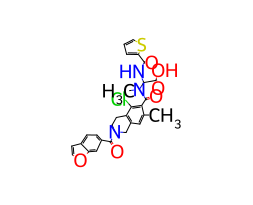 Cc1cc2c(c(Cl)c1C(=O)N(C)C(NC(=O)c1cccs1)C(=O)O)CCN(C(=O)c1ccc3ccoc3c1)C2